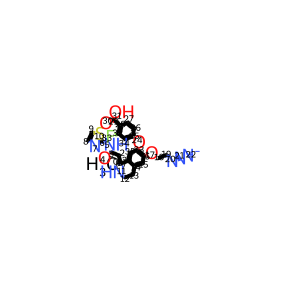 C[C@]1(CC(=O)Nc2nccs2)NCCc2cc(OCCN=[N+]=[N-])c(Oc3ccc(C(=O)O)c(F)c3)cc21